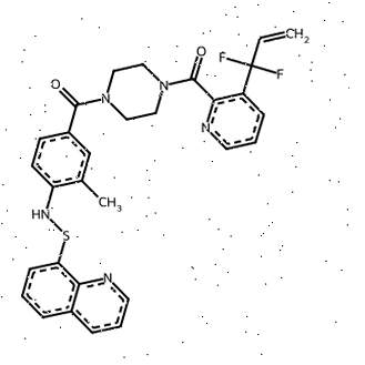 C=CC(F)(F)c1cccnc1C(=O)N1CCN(C(=O)c2ccc(NSc3cccc4cccnc34)c(C)c2)CC1